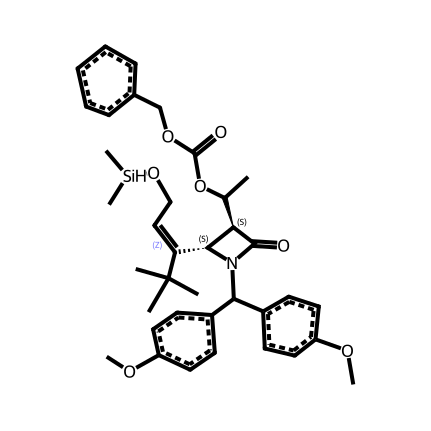 COc1ccc(C(c2ccc(OC)cc2)N2C(=O)[C@H](C(C)OC(=O)OCc3ccccc3)[C@H]2/C(=C\CO[SiH](C)C)C(C)(C)C)cc1